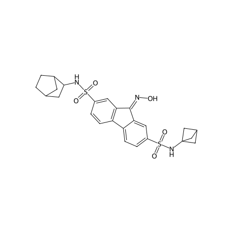 O=S(=O)(NC1CC2CCC1C2)c1ccc2c(c1)/C(=N/O)c1cc(S(=O)(=O)NC34CC(C3)C4)ccc1-2